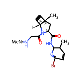 CNNCC(=O)N1[C@H](C(=O)NC2N=C(Br)C=CC2C)C[C@@]2(C)C#C[C@@H]12